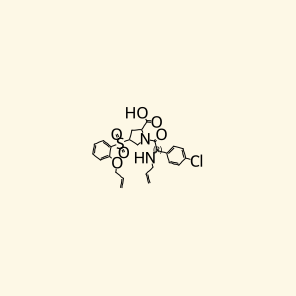 C=CCN[C@@H](C(=O)N1CC(S(=O)(=O)c2ccccc2OCC=C)CC1C(=O)O)c1ccc(Cl)cc1